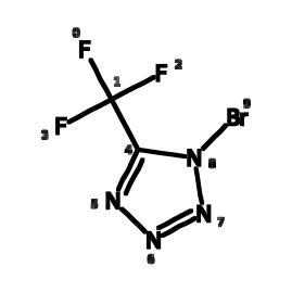 FC(F)(F)c1nnnn1Br